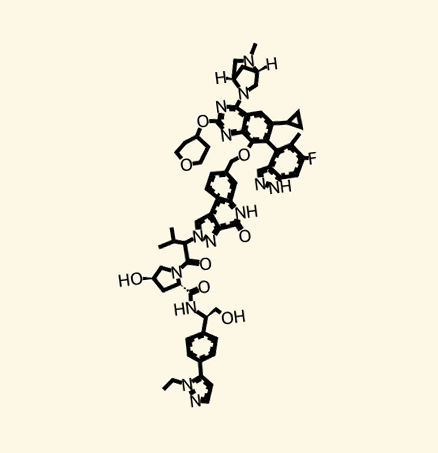 CCn1nccc1-c1ccc([C@H](CO)NC(=O)[C@@H]2C[C@@H](O)CN2C(=O)C(C(C)C)n2cc3c(n2)c(=O)[nH]c2cc(COc4c(-c5c(C)c(F)cc6[nH]ncc56)c(C5CC5)cc5c(N6C[C@@H]7C[C@H]6CN7C)nc(OC6CCOCC6)nc45)ccc23)cc1